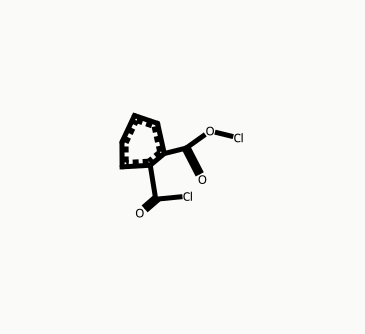 O=C(Cl)c1ccccc1C(=O)OCl